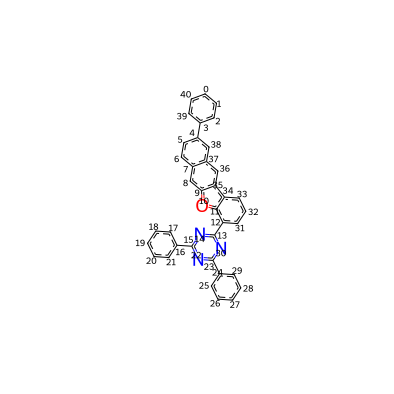 c1ccc(-c2ccc3cc4oc5c(-c6nc(-c7ccccc7)nc(-c7ccccc7)n6)cccc5c4cc3c2)cc1